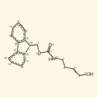 O=C(NCCCCO)OCC1c2ccccc2-c2ccccc21